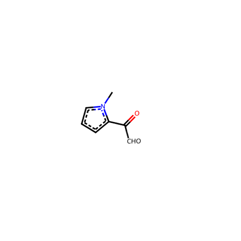 Cn1cccc1C(=O)C=O